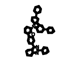 c1ccc(-c2ccc3c(c2)c2cc(-c4ccccc4)ccc2n3-c2cccc3c2oc2cc(-c4nc(-c5ccccc5)nc5ccccc45)ccc23)cc1